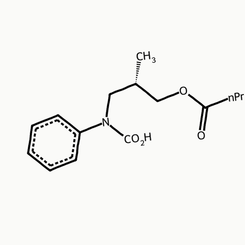 CCCC(=O)OC[C@@H](C)CN(C(=O)O)c1ccccc1